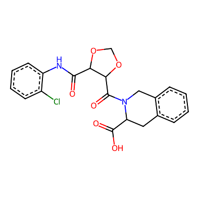 O=C(Nc1ccccc1Cl)C1OCOC1C(=O)N1Cc2ccccc2CC1C(=O)O